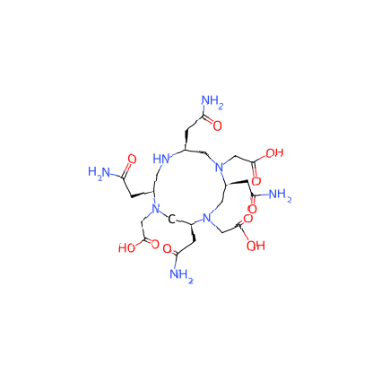 NC(=O)C[C@H]1CN(CC(=O)O)[C@@H](CC(N)=O)CN(CC(=O)O)[C@@H](CC(N)=O)CN(CC(=O)O)[C@@H](CC(N)=O)CN1